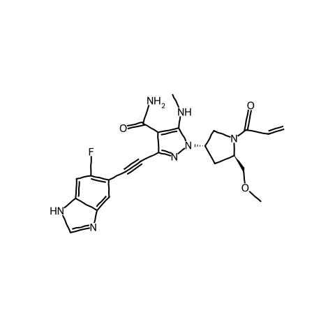 C=CC(=O)N1C[C@@H](n2nc(C#Cc3cc4nc[nH]c4cc3F)c(C(N)=O)c2NC)C[C@@H]1COC